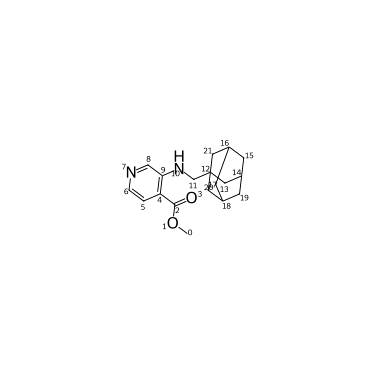 COC(=O)c1ccncc1NCC12CC3CC(CC(C3)C1)C2